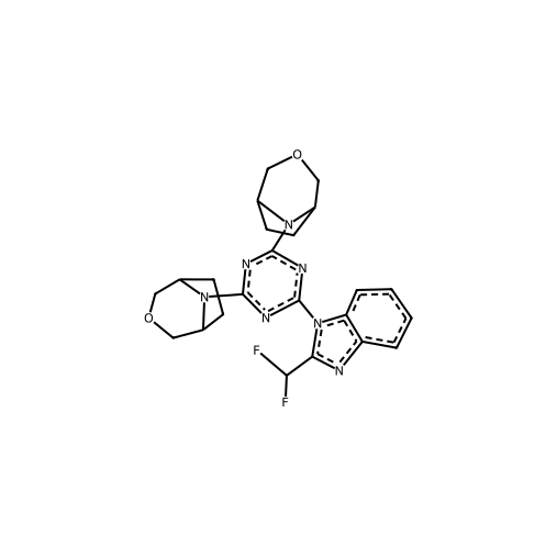 FC(F)c1nc2ccccc2n1-c1nc(N2C3CCC2COC3)nc(N2C3CCC2COC3)n1